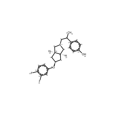 CC(CN1C[C@H]2C[C@@H](Oc3ccc(F)c(F)c3)C[C@H]2C1)c1ccc(O)cc1